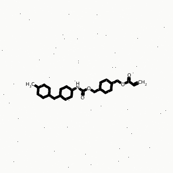 C=CC(=O)OCC1CCC(COC(=O)NC2CCC(CC3CCC(C)CC3)CC2)CC1